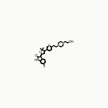 CC1(C)OC(=C2C(=O)Nc3cc(F)ccc32)C=C1c1ccc(CCN2CCN(CCO)CC2)nc1